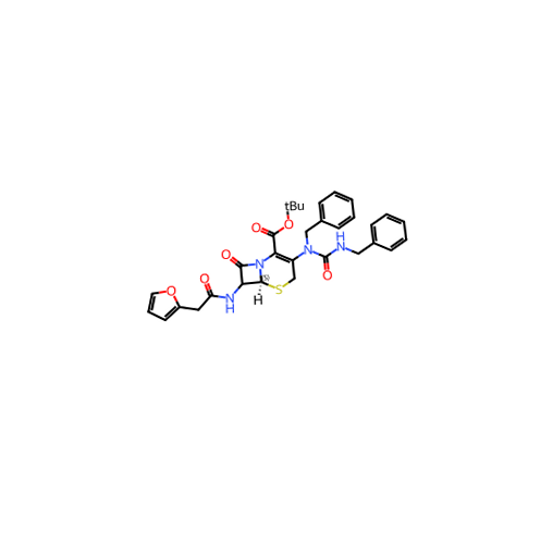 CC(C)(C)OC(=O)C1=C(N(Cc2ccccc2)C(=O)NCc2ccccc2)CS[C@H]2C(NC(=O)Cc3ccco3)C(=O)N12